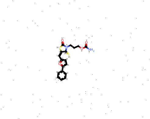 NC(=O)OCCCN1C(=O)SC(=Cc2ccc(-c3ccccc3)o2)C1=S